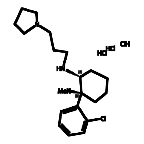 CN[C@@]1(c2ccccc2Cl)CCCC[C@H]1NCCCN1CCCC1.Cl.Cl.Cl